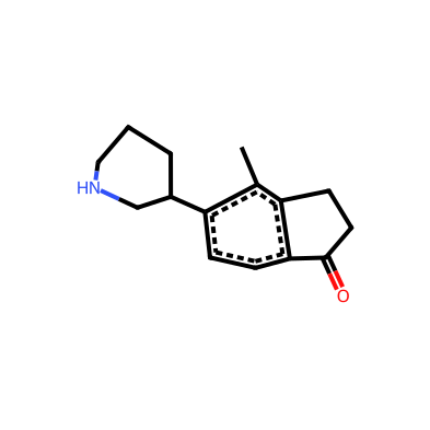 Cc1c(C2CCCNC2)ccc2c1CCC2=O